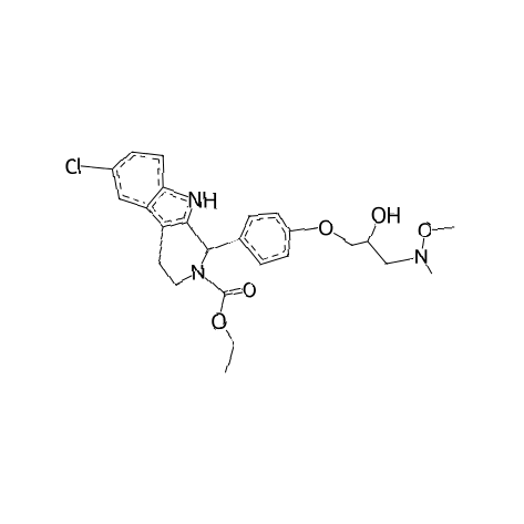 CCOC(=O)N1CCc2c([nH]c3ccc(Cl)cc23)C1c1ccc(OCC(O)CN(C)OC)cc1